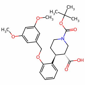 COc1cc(COc2ccccc2[C@H]2CCN(C(=O)OC(C)(C)C)C[C@@H]2C(=O)O)cc(OC)c1